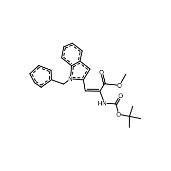 COC(=O)/C(=C\c1cc2ccccc2n1Cc1ccccc1)NC(=O)OC(C)(C)C